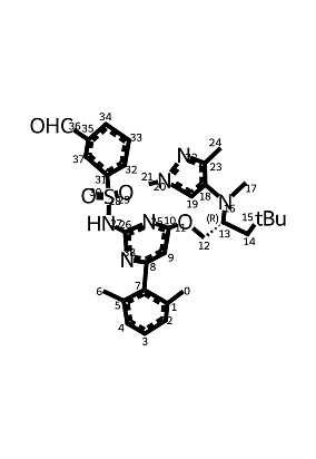 Cc1cccc(C)c1-c1cc(OC[C@@H](CC(C)(C)C)N(C)c2cn(C)nc2C)nc(NS(=O)(=O)c2cccc(C=O)c2)n1